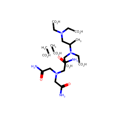 CC(=O)O.CC(=O)O.CC(CN(CC(=O)O)CC(=O)O)N(CC(=O)O)CC(=O)O.NC(=O)CN(CC(N)=O)CC(N)=O